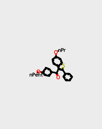 CCCCCOc1ccc(C(=O)c2c(-c3ccccc3)sc3cc(OCCC)ccc23)cc1